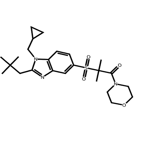 CC(C)(C)Cc1nc2cc(S(=O)(=O)C(C)(C)C(=O)N3CCOCC3)ccc2n1CC1CC1